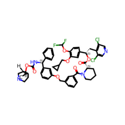 O=C(N[C@@H](c1ccccc1)c1cccc(OCc2cccc(C(=O)N3CCCC[C@H]3C(=O)O[C@@H](Cc3c(Cl)cncc3Cl)c3ccc(OC(F)F)c(OCC4CC4)c3)c2)c1)O[C@H]1CN2CCC1CC2